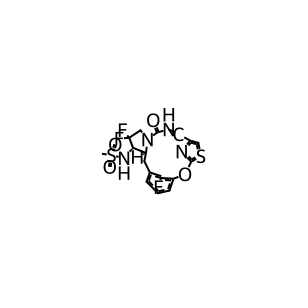 CS(=O)(=O)N[C@@H]1[C@@H]2Cc3cccc(c3F)Oc3nc(cs3)CNC(=O)N2CC1(F)F